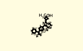 CC1(O)CC(c2nc(-c3ccc(C(=C(F)F)c4ccccc4)cc3)c3c(N)nccn23)C1